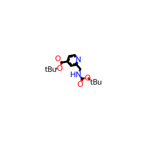 CC(C)(C)OC(=O)NCc1cc(C(=O)OC(C)(C)C)ccn1